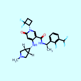 C[C@@H](NC(=O)c1cn([C@H]2CCC2(F)F)c(=O)cc1N[C@@H]1[C@@H]2CN(C)C[C@@H]21)c1cccc(C(F)F)c1F